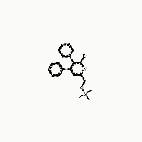 C[Si](C)(C)OCc1cc(-c2ccccc2)c(-c2ccccc2)c(Br)n1